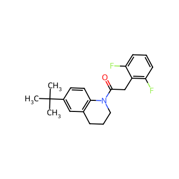 CC(C)(C)c1ccc2c(c1)CCCN2C(=O)Cc1c(F)cccc1F